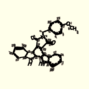 COc1ccc(CN2C(=O)c3c4c(c5[nH]c6ccccc6c5c3C2=O)NC2C=CC=CC42)cc1